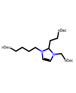 CCCCCCCCCCCCCCN1C=CN(CCCCCCCCCCC)C1CCCCCCCCCCCC